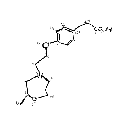 C[C@H]1CN(CCOc2ccc(CC(=O)O)cc2)CCO1